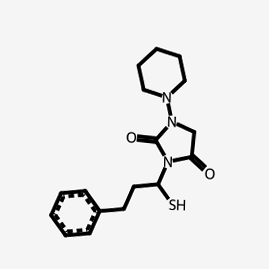 O=C1CN(N2CCCCC2)C(=O)N1C(S)CCc1ccccc1